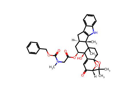 CN(CC(=O)O[C@H]1C[C@H]2Cc3c([nH]c4ccccc34)[C@]2(C)C2(C)CC[C@@]34O[C@@H](C(=O)C=C3[C@]12O)C(C)(C)O4)C(=O)OCc1ccccc1